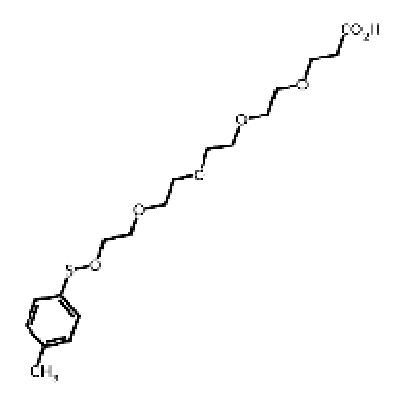 Cc1ccc(SOCCOCCOCCOCCOCCC(=O)O)cc1